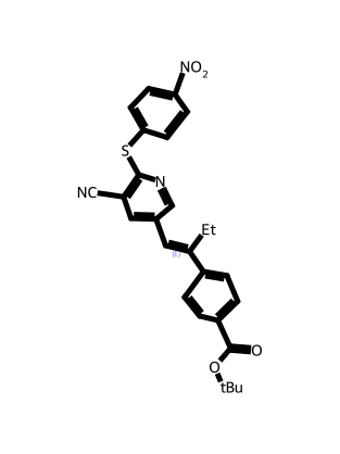 CC/C(=C\c1cnc(Sc2ccc([N+](=O)[O-])cc2)c(C#N)c1)c1ccc(C(=O)OC(C)(C)C)cc1